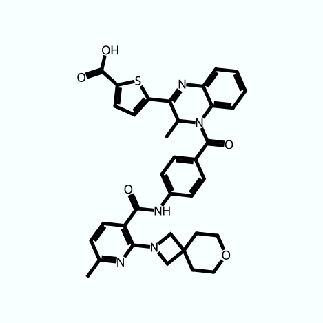 Cc1ccc(C(=O)Nc2ccc(C(=O)N3c4ccccc4N=C(c4ccc(C(=O)O)s4)C3C)cc2)c(N2CC3(CCOCC3)C2)n1